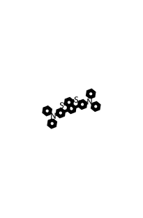 c1ccc(N(c2ccccc2)c2ccc3c(c2)Sc2ccc4c5c(ccc-3c25)-c2ccc(N(c3ccccc3)c3ccccc3)cc2S4)cc1